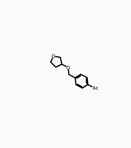 CC(=O)c1ccc(COC2CCOC2)cc1